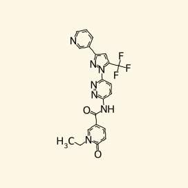 CCn1cc(C(=O)Nc2ccc(-n3nc(-c4cccnc4)cc3C(F)(F)F)nn2)ccc1=O